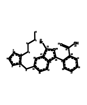 CCCCc1nccn1Cc1ccc2c(-c3ccccc3C(=O)O)oc(Br)c2c1